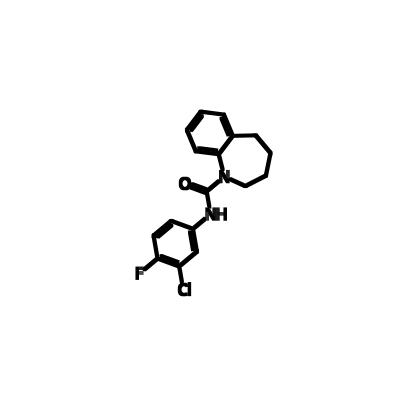 O=C(Nc1ccc(F)c(Cl)c1)N1CCCCc2ccccc21